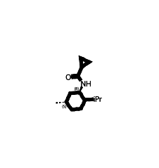 CC(C)C1CC[C@H](C)C[C@H]1NC(=O)C1CC1